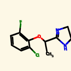 CC(Oc1c(F)cccc1Cl)C1=NCCN1